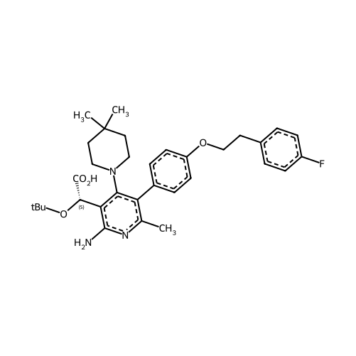 Cc1nc(N)c([C@H](OC(C)(C)C)C(=O)O)c(N2CCC(C)(C)CC2)c1-c1ccc(OCCc2ccc(F)cc2)cc1